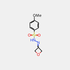 COc1ccc(S(=O)(=O)NN=C2COC2)cc1